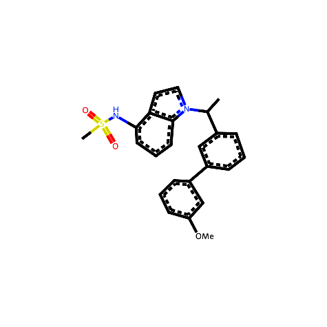 COc1cccc(-c2cccc(C(C)n3ccc4c(NS(C)(=O)=O)cccc43)c2)c1